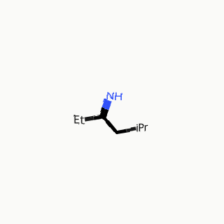 CCC(=N)CC(C)C